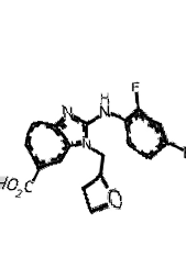 O=C(O)c1ccc2nc(Nc3ccc(Br)cc3F)n(CC3CCO3)c2c1